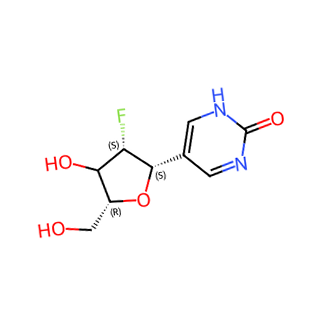 O=c1ncc([C@@H]2O[C@H](CO)C(O)[C@@H]2F)c[nH]1